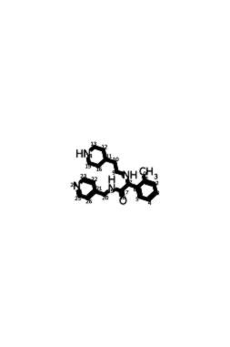 Cc1ccccc1C(NCCC1CCNCC1)C(=O)NCc1ccncc1